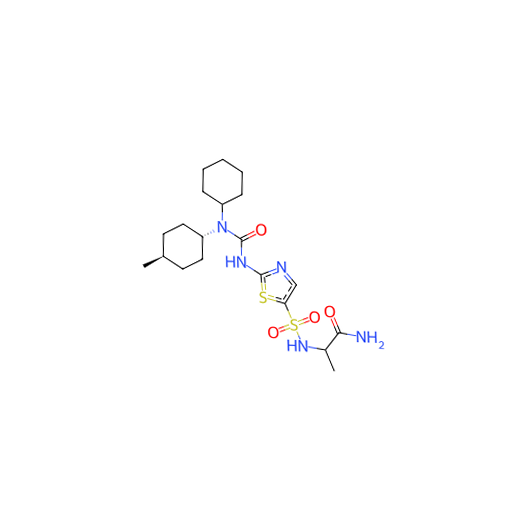 CC(NS(=O)(=O)c1cnc(NC(=O)N(C2CCCCC2)[C@H]2CC[C@H](C)CC2)s1)C(N)=O